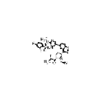 C=C(F)C(=O)N1CCN(c2ncnc3ccc(-c4cnc(OC)c(NS(=O)(=O)c5ccc(F)cc5F)c4)cc23)C[C@@H]1CC#N